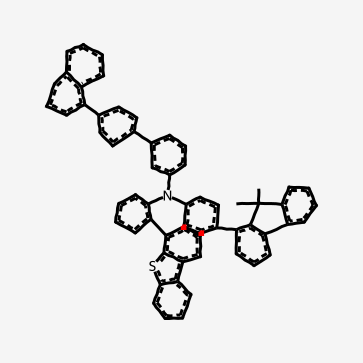 CC1(C)c2ccccc2-c2cccc(-c3ccc(N(c4cccc(-c5ccc(-c6cccc7ccccc67)cc5)c4)c4ccccc4-c4cccc5c4sc4ccccc45)cc3)c21